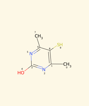 Cc1nc(O)nc(C)c1S